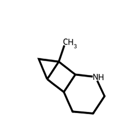 CC12CC1C1CCCNC12